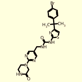 CC(C)(c1ccc(Br)cc1)c1csc(NC(=O)NCc2cnc(N3CCNC(=O)C3)nc2)n1